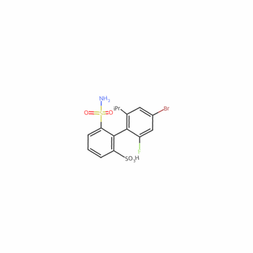 CC(C)c1cc(Br)cc(F)c1-c1c(S(N)(=O)=O)cccc1S(=O)(=O)O